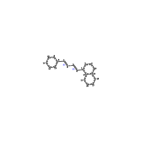 [c]1ccc(/C=C/C=C/c2ccccc2)c2ccccc12